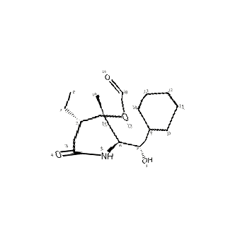 CC[C@H]1C(=O)N[C@H]([C@@H](O)C2CCCCC2)[C@@]1(C)OC=O